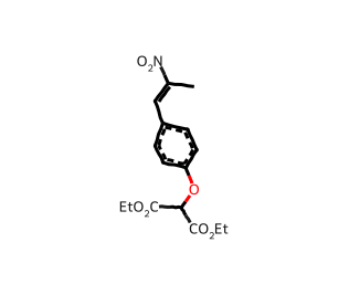 CCOC(=O)C(Oc1ccc(C=C(C)[N+](=O)[O-])cc1)C(=O)OCC